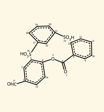 O=Cc1ccc(OC(=O)c2ccccc2)cc1.O=S(=O)(O)c1cccc(S(=O)(=O)O)c1